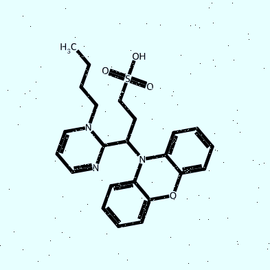 CCCCN1C=CC=NC1C(CCS(=O)(=O)O)N1c2ccccc2Oc2ccccc21